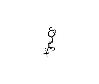 CC(C)(C)OC(=O)/C=C/C1CCOOC1